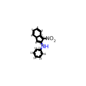 O=[N+]([O-])C1=C2C=CC=CC2C=C1Nc1ccccc1